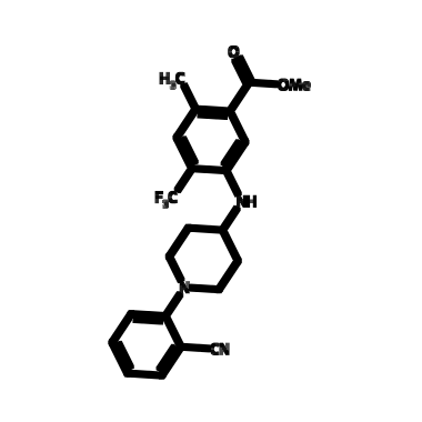 COC(=O)c1cc(NC2CCN(c3ccccc3C#N)CC2)c(C(F)(F)F)cc1C